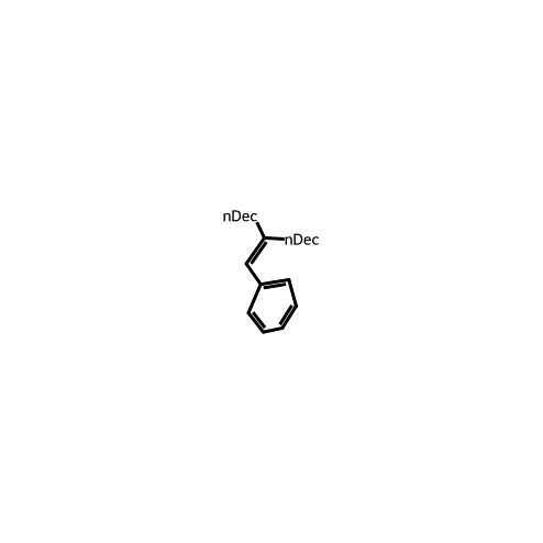 CCCCCCCCCCC(=Cc1ccccc1)CCCCCCCCCC